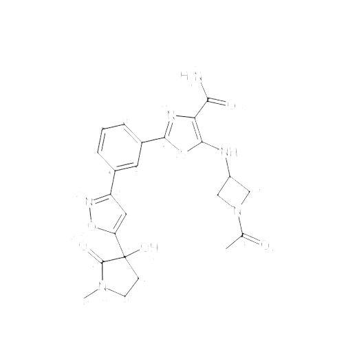 CC(=O)N1CC(Nc2sc(-c3cccc(-c4cc(C5(O)CCN(C)C5=O)on4)c3)nc2C(N)=O)C1